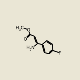 COC(=O)/C=C(\N)c1ccc(F)cc1